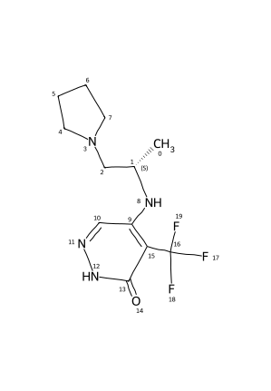 C[C@@H](CN1CCCC1)Nc1cn[nH]c(=O)c1C(F)(F)F